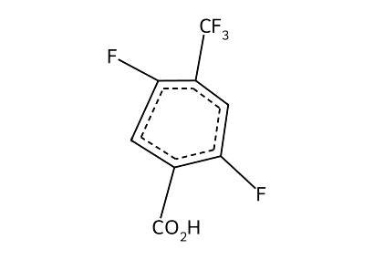 O=C(O)c1cc(F)c(C(F)(F)F)cc1F